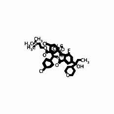 CCC(O)(c1cc(F)c2c(c1)C(=O)N(C(c1ccc(Cl)cc1)C(C)C(=O)OCC[Si](C)(C)C)[C@@]2(OC)c1ccc(Cl)cc1)C1CCOCC1